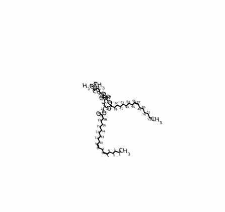 CCCCC/C=C\C/C=C\CCCCCCCCCC(=O)OC[C@H](COP(=O)([O-])OCC[N+](C)(C)C)OC(=O)CCCCCCC/C=C\CCCCCC